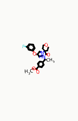 COC(=O)c1ccc([C@H](C)NC(=O)C2(N3CC[C@@H](Oc4cccc(F)c4)C3)CCOCC2)cc1